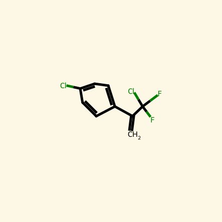 C=C(c1ccc(Cl)cc1)C(F)(F)Cl